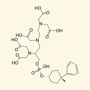 C[C@]1(c2ccccc2)CC[C@@H](OP(=O)(O)OCC(CN(CCN(CC(=O)O)CC(=O)O)CC(=O)O)N(CC(=O)O)CC(=O)O)CC1